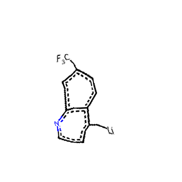 [Li][c]1ccnc2cc(C(F)(F)F)ccc12